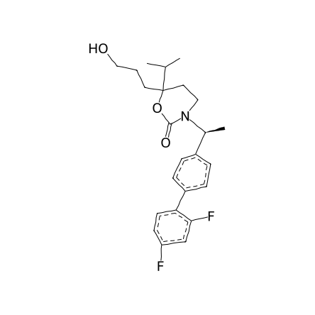 CC(C)C1(CCCO)CCN([C@@H](C)c2ccc(-c3ccc(F)cc3F)cc2)C(=O)O1